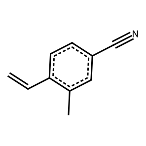 C=Cc1ccc(C#N)cc1C